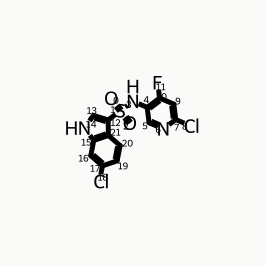 O=S(=O)(Nc1cnc(Cl)cc1F)c1c[nH]c2cc(Cl)ccc12